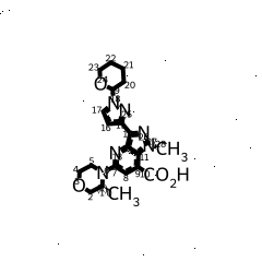 C[C@@H]1COCCN1c1cc(C(=O)O)c2c(n1)c(-c1ccn(C3CCCCO3)n1)nn2C